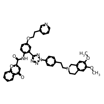 COc1cc2c(cc1OC)CN(CCc1ccc(-n3nnc(-c4cc(OCCc5cccnc5)ccc4NC(=O)c4cc(=O)c5ccccc5o4)n3)cc1)CC2